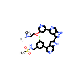 CN(C)CCOc1cncc(-c2cc3c(-c4cc5c(-c6cc(F)cc(CNS(C)(=O)=O)c6)cncc5[nH]4)n[nH]c3cn2)c1